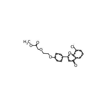 COC(=O)COCCOc1ccc(-c2cc(=O)c3cccc(Cl)c3o2)cc1